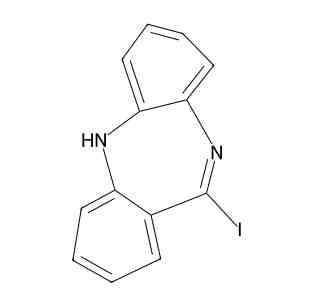 IC1=Nc2ccccc2Nc2ccccc21